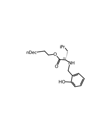 CCCCCCCCCCCCOC(=O)[C@H](CC(C)C)NCc1ccccc1O